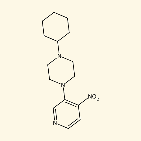 O=[N+]([O-])c1ccncc1N1CCN(C2CCCCC2)CC1